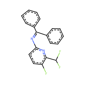 Fc1ccc(N=C(c2ccccc2)c2ccccc2)nc1C(F)F